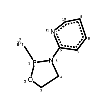 CC(C)P1OCCN1c1ccccn1